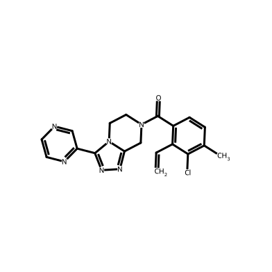 C=Cc1c(C(=O)N2CCn3c(nnc3-c3cnccn3)C2)ccc(C)c1Cl